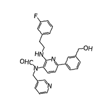 O=CN(Cc1cccnc1)c1ccc(-c2cccc(CO)c2)nc1NCCc1cccc(F)c1